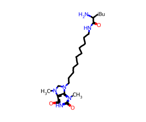 CCC(C)C(N)C(=O)NCCCCCCCCCCCN1CN(C)c2c1n(C)c(=O)[nH]c2=O